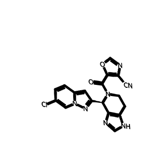 N#Cc1ncoc1C(=O)N1CCc2[nH]cnc2[C@H]1c1cc2ccc(Cl)cn2n1